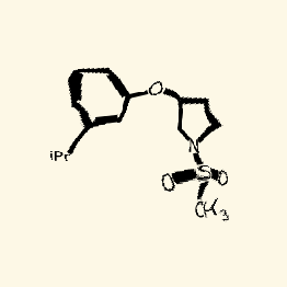 CC(C)c1cccc(OC2CCN(S(C)(=O)=O)C2)c1